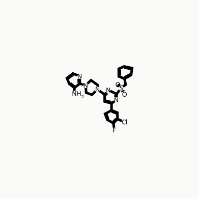 Nc1cccnc1N1CCN(c2cc(-c3ccc(F)c(Cl)c3)nc(S(=O)(=O)Cc3ccccc3)n2)CC1